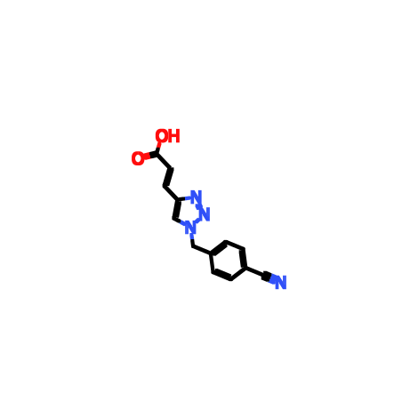 N#Cc1ccc(Cn2cc(C=CC(=O)O)nn2)cc1